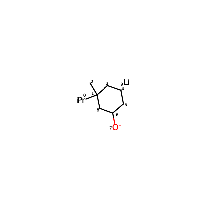 CC(C)C1(C)CCCC([O-])C1.[Li+]